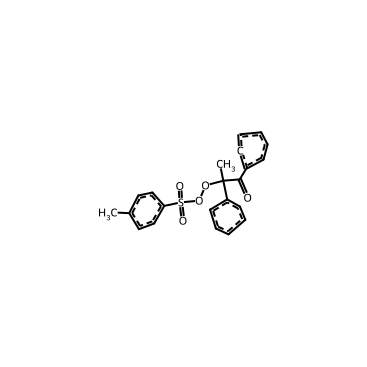 Cc1ccc(S(=O)(=O)OOC(C)(C(=O)c2ccccc2)c2ccccc2)cc1